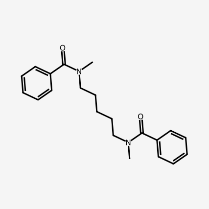 CN(CCCCCN(C)C(=O)c1ccccc1)C(=O)c1ccccc1